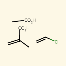 C=C(C)C(=O)O.C=CCl.CC(=O)O